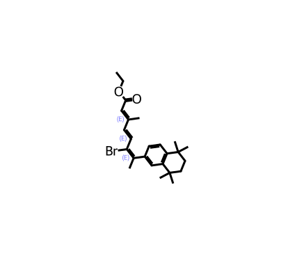 CCOC(=O)/C=C(C)/C=C/C(Br)=C(/C)c1ccc2c(c1)C(C)(C)CCC2(C)C